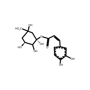 O=C(/C=C\c1ccc(O)c(O)c1)O[C@]1(O)CC(O)(C(=O)O)C[C@H](O)C1O